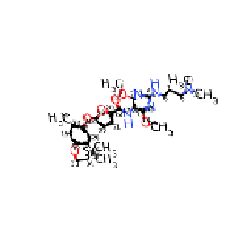 COc1nc(NCCCN(C)C)nc(OC)c1NC(=O)c1ccc(Oc2cc3c(cc2C)OCC[Si]3(C)C)o1